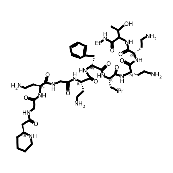 CCNC(=O)C(NC(=O)[C@H](CCN)NC(=O)[C@H](CCN)NC(=O)[C@H](CC(C)C)NC(=O)[C@@H](Cc1ccccc1)NC(=O)[C@H](CCN)NC(=O)CNC(=O)[C@H](CCN)NC(=O)CNC(=O)C[C@@H]1CCCCN1)C(C)O